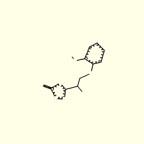 CSc1ccccc1NCC(O)c1n[nH]c(=S)[nH]1